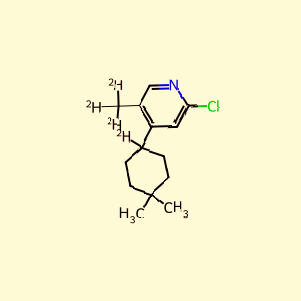 [2H]C([2H])([2H])c1cnc(Cl)cc1C1([2H])CCC(C)(C)CC1